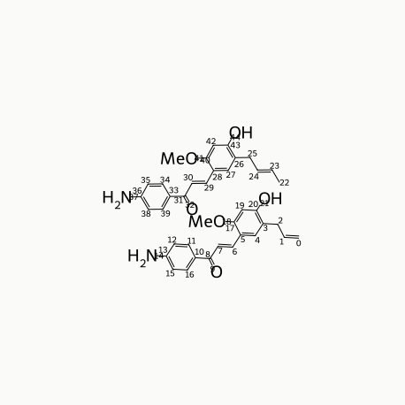 C=CCc1cc(C=CC(=O)c2ccc(N)cc2)c(OC)cc1O.CC=CCc1cc(C=CC(=O)c2ccc(N)cc2)c(OC)cc1O